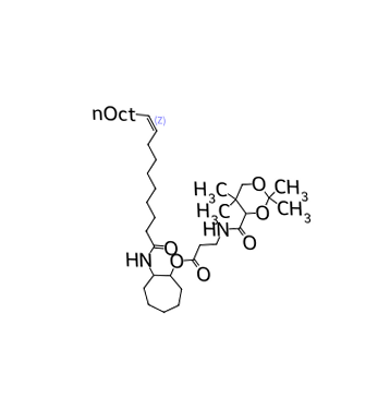 CCCCCCCC/C=C\CCCCCCCC(=O)NC1CCCCCC1OC(=O)CCNC(=O)C1OC(C)(C)OCC1(C)C